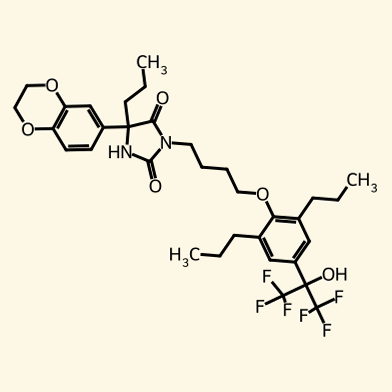 CCCc1cc(C(O)(C(F)(F)F)C(F)(F)F)cc(CCC)c1OCCCCN1C(=O)NC(CCC)(c2ccc3c(c2)OCCO3)C1=O